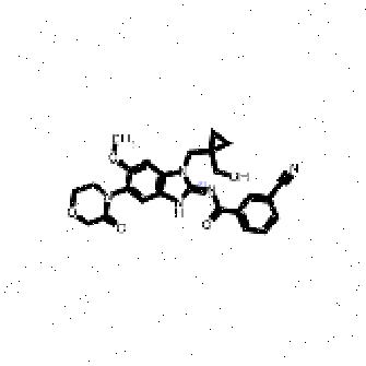 COc1cc2c(cc1N1CCOCC1=O)[nH]/c(=N\C(=O)c1cccc(C#N)c1)n2CC1(CO)CC1